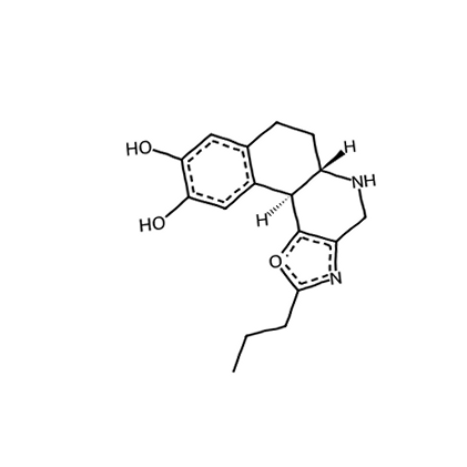 CCCc1nc2c(o1)[C@H]1c3cc(O)c(O)cc3CC[C@@H]1NC2